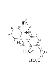 CCOC(=O)C1CC1C1=CC=C(N(CC(C)C)C2CCCCC2)C(N)C1C